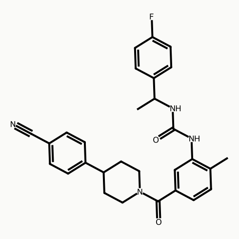 Cc1ccc(C(=O)N2CCC(c3ccc(C#N)cc3)CC2)cc1NC(=O)NC(C)c1ccc(F)cc1